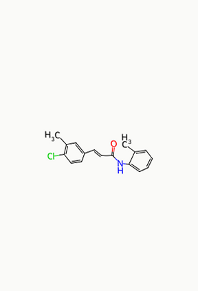 Cc1cc(C=CC(=O)Nc2ccccc2C)ccc1Cl